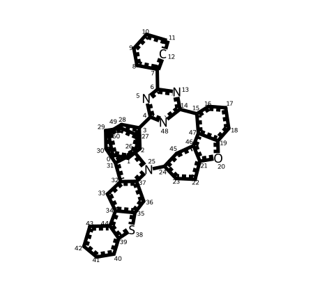 c1ccc(-c2nc(-c3ccccc3)nc(-c3cccc4oc5ccc(-n6c7ccccc7c7cc8c(cc76)sc6ccccc68)cc5c34)n2)cc1